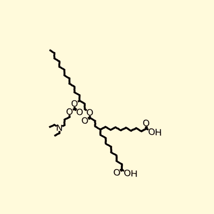 CCCCCCCCCCCCC(CCOC(=O)CCC(CCCCCCCCC(=O)O)CCCCCCCCC(=O)O)OC(=O)OCCCN(CC)CC